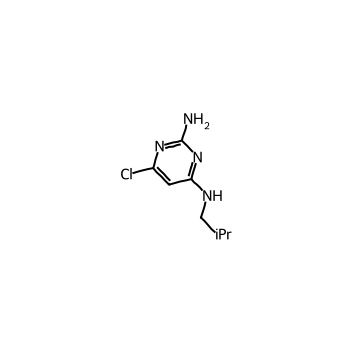 CC(C)CNc1cc(Cl)nc(N)n1